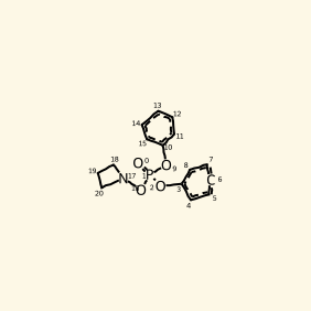 O=P(Oc1ccccc1)(Oc1ccccc1)ON1CCC1